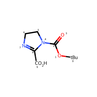 CC(C)(C)OC(=O)N1CCN=C1C(=O)O